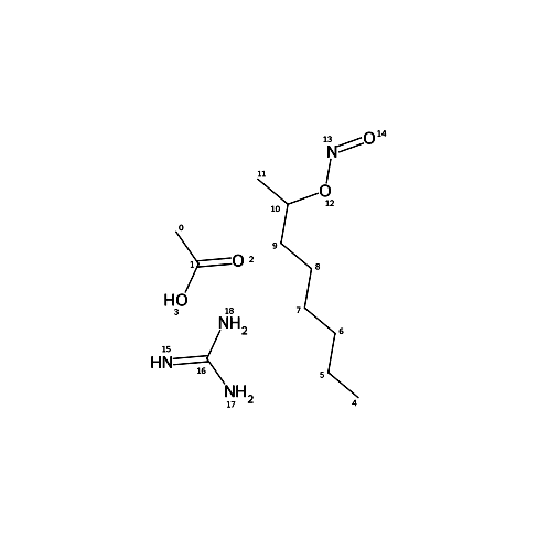 CC(=O)O.CCCCCCC(C)ON=O.N=C(N)N